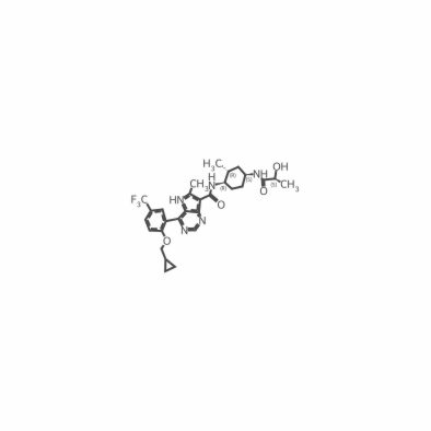 Cc1[nH]c2c(-c3cc(C(F)(F)F)ccc3OCC3CC3)ncnc2c1C(=O)N[C@@H]1CC[C@H](NC(=O)[C@H](C)O)C[C@H]1C